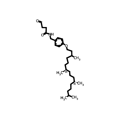 CC(C)CCC[C@@H](C)CCC[C@@H](C)CCCC(C)CCOc1ccc(CNC(=O)CC[C]=O)cc1